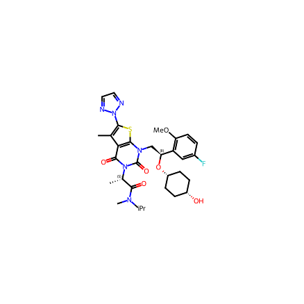 COc1ccc(F)cc1[C@H](Cn1c(=O)n([C@@H](C)C(=O)N(C)C(C)C)c(=O)c2c(C)c(-n3nccn3)sc21)O[C@H]1CC[C@@H](O)CC1